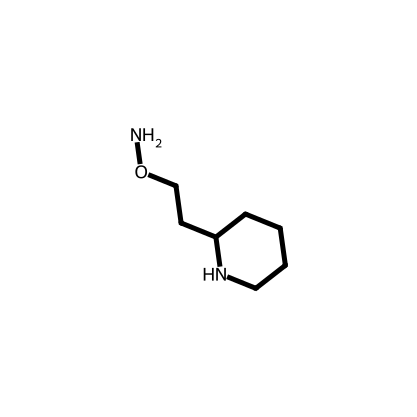 NOCCC1CCCCN1